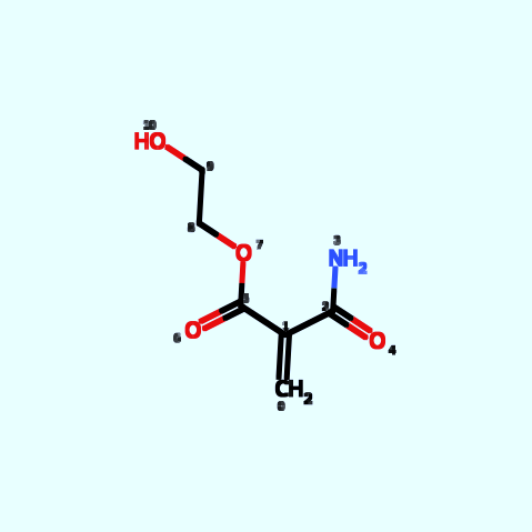 C=C(C(N)=O)C(=O)OCCO